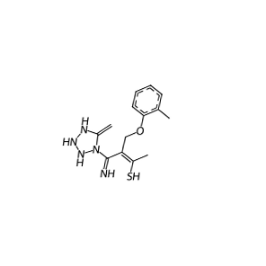 C=C1NNNN1C(=N)/C(COc1ccccc1C)=C(/C)S